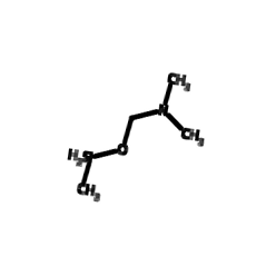 C[SiH2]OCN(C)C